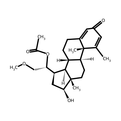 COC[C@H](OC(C)=O)[C@@H]1C[C@H](O)[C@@]2(C)CC[C@H]3[C@@H](CCC4=CC(=O)C=C(C)[C@@]43C)[C@H]12